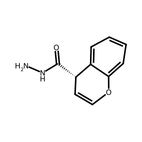 NNC(=O)[C@H]1C=COc2ccccc21